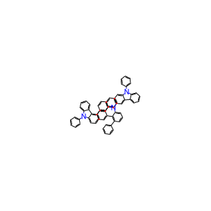 c1ccc(-c2ccccc2-c2c(-c3ccccc3)cccc2N(c2cccc(-c3cccc4c3c3ccccc3n4-c3ccccc3)c2)c2ccc3c(c2)c2ccccc2n3-c2ccccc2)cc1